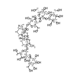 C=C1C[C@]23CC[C@H]4C(C)(C(=O)OC5O[C@H](CO)[C@@H](O[C@H]6O[C@H](CO)[C@@H](O)[C@H](O)[C@H]6O[C@H]6O[C@H](CO)[C@@H](O)[C@H](O)[C@H]6O)[C@H](O)[C@H]5O)CCC[C@]4(C)[C@H]2CC[C@]1(O[C@@H]1O[C@H](CO)[C@@H](O)[C@H](O)[C@H]1O[C@@H]1O[C@H](CO)[C@@H](O)[C@H](O)[C@H]1O)C3